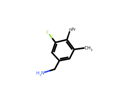 CCCc1c(C)cc(CN)cc1F